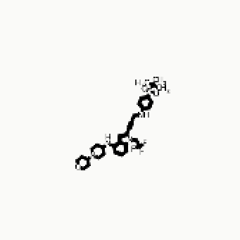 CC(C)(C)S(=O)(=O)c1ccc(NCC#Cc2cc3c(NC4CCN(C5CCOCC5)CC4)cccc3n2CC(F)(F)F)cc1